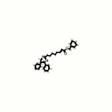 O=C(C=CCCCCCc1ncc(-c2ccccc2)c(-c2ccccc2)n1)OCc1ccccc1